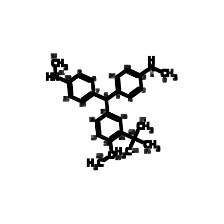 CNc1ccc(C(c2ccc(NC)cc2)c2ccc(OC)c(C(C)(C)C)c2)cc1